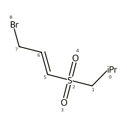 CC(C)CS(=O)(=O)C=CCBr